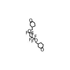 FC(F)(CC(F)(F)C(F)(F)OCC1CCC2OC2C1)OCC1CCC2OC2C1